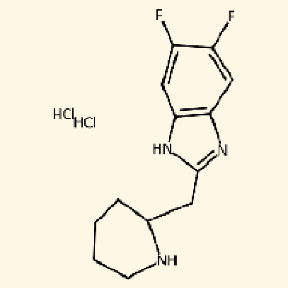 Cl.Cl.Fc1cc2nc(CC3CCCCN3)[nH]c2cc1F